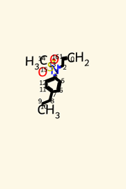 C=CCN(c1ccc(CCC)cc1)S(C)(=O)=O